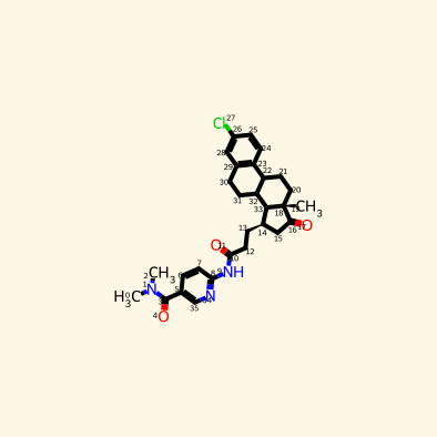 CN(C)C(=O)c1ccc(NC(=O)CC[C@@H]2CC(=O)[C@@]3(C)CCC4c5ccc(Cl)cc5CCC4C23)nc1